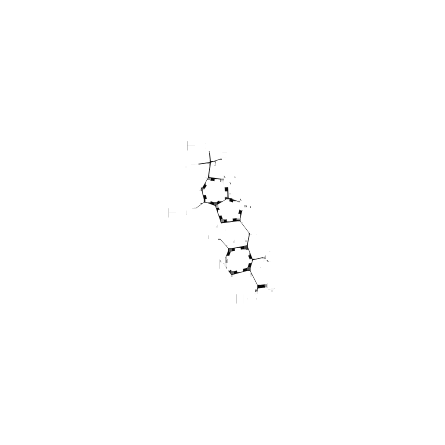 Cc1cc(C(C)(F)F)nc2[nH]c(Cc3c(Cl)ncc(C(=O)O)c3Cl)cc12